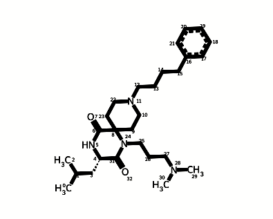 CC(C)C[C@@H]1NC(=O)C2(CCN(CCCCc3ccccc3)CC2)N(CCCN(C)C)C1=O